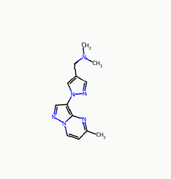 Cc1ccn2ncc(-n3cc(CN(C)C)cn3)c2n1